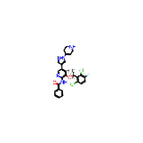 C[C@@H](Oc1cc(-c2cnn(C3CCNCC3)c2)cnc1NC(=O)c1ccccc1)c1c(Cl)ccc(F)c1Cl